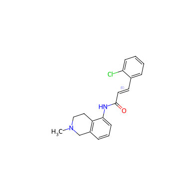 CN1CCc2c(cccc2NC(=O)/C=C/c2ccccc2Cl)C1